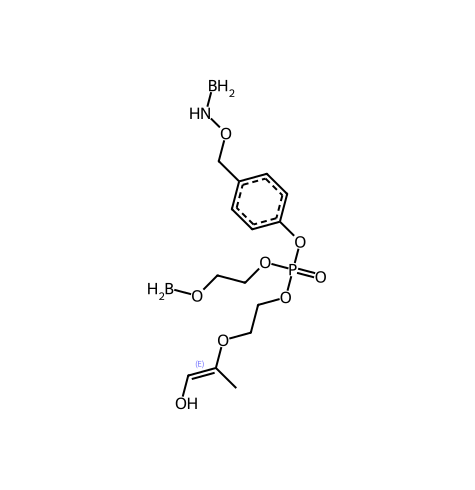 BNOCc1ccc(OP(=O)(OCCOB)OCCO/C(C)=C/O)cc1